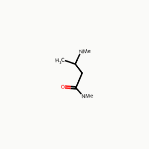 CNC(=O)CC(C)NC